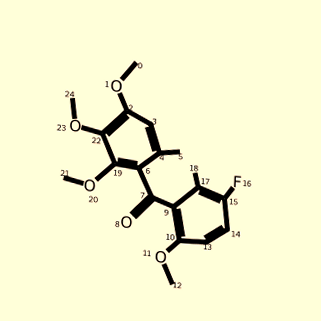 COc1cc(C)c(C(=O)c2c(OC)ccc(F)c2C)c(OC)c1OC